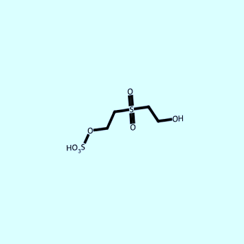 O=S(=O)(CCO)CCOS(=O)(=O)O